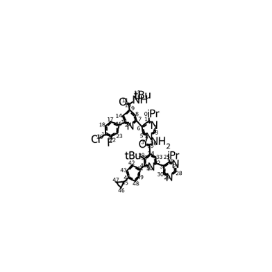 CC(C)c1ncncc1-c1cc(C(=O)NC(C)(C)C)cc(-c2ccc(Cl)c(F)c2)n1.CC(C)c1ncncc1-c1cc(C(N)=O)c(C(C)(C)C)c(-c2ccc(C3CC3)cc2)n1